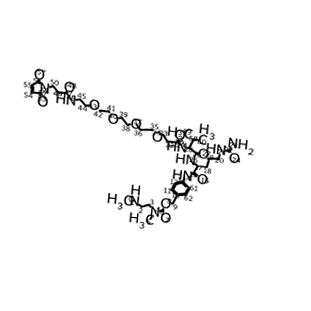 CNCCN(C)C(=O)OCc1ccc(NC(=O)[C@H](CCCNC(N)=O)NC(=O)[C@@H](NC(=O)CCOCCOCCOCCOCCNC(=O)CCN2C(=O)C=CC2=O)C(C)C)cc1